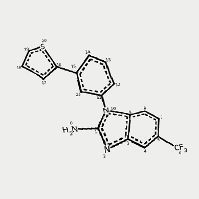 Nc1nc2cc(C(F)(F)F)ccc2n1-c1cccc(-c2cccs2)c1